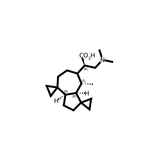 C[C@H]1C([C@H](CN(C)C)C(=O)O)CCC2(CC2)[C@@H]2CCC3(CC3)[C@@H]21